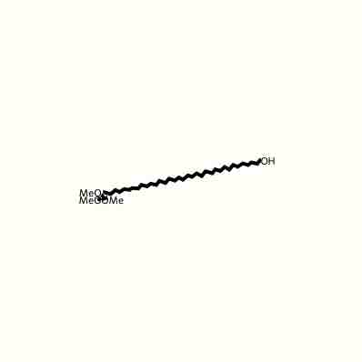 CO[Si](CCCCCCCCCCCCCCCCCCCCCCCCCCCCCCCCCCCO)(OC)OC